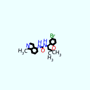 Cc1nccc2c(NC(=O)NC3CC(C)(C)Oc4ccc(Br)cc43)cccc12